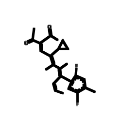 C\C=C/C(=C(C)\C(C)=C(\C=C(C(C)=O)C(C)=O)C1CC1)c1cc(F)c(C)cc1F